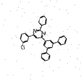 Clc1cccc(-c2cc(-c3cc(-c4ccccc4)cc(-c4ccccc4)c3)nc(C3C=CC=CC3)n2)c1